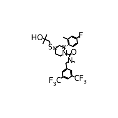 Cc1cc(F)ccc1[C@H]1C[C@@H](SCC(C)(C)O)CCN1C(=O)N(C)Cc1cc(C(F)(F)F)cc(C(F)(F)F)c1